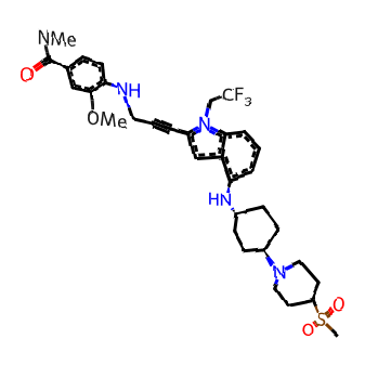 CNC(=O)c1ccc(NCC#Cc2cc3c(N[C@H]4CC[C@H](N5CCC(S(C)(=O)=O)CC5)CC4)cccc3n2CC(F)(F)F)c(OC)c1